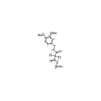 CCC(CC)(C(=O)OCc1ccc(OC)c(OC)c1)C(=O)ONC(C)=O